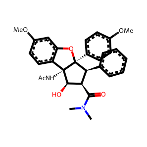 COc1ccc([C@@]23Oc4cc(OC)ccc4[C@]2(NC(C)=O)[C@H](O)[C@H](C(=O)N(C)C)[C@@H]3c2ccccc2)cc1